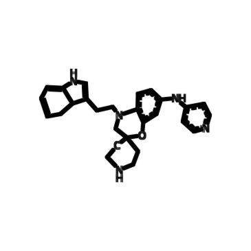 C1=CCC2C(CCN3CC4(CCNCC4)Oc4cc(Nc5ccncc5)ccc43)=CNC2=C1